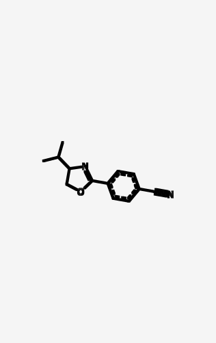 CC(C)C1COC(c2ccc(C#N)cc2)=N1